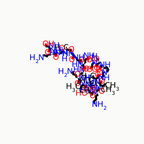 CC[C@H](C)[C@H](NC(=O)[C@H](CCCCN)NC(=O)[C@H](CO)NC(=O)[C@H](C)NC(=O)[C@@H](NC(=O)[C@H](CCCCN)NC(=O)CNC(=O)[C@H](CCC(N)=O)NC(=O)CNC(=O)CNC(=O)[C@H](C)NC(=O)CNC(=O)[C@H](CCCCN)NC(=O)[C@@H](N)CO)C(C)C)C(=O)N[C@H](C(=O)NCC(=O)N1CCC[C@H]1C(=O)N[C@@H](CO)C(=O)NCC(=O)O)C(C)C